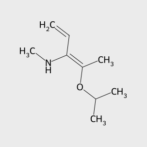 C=C/C(NC)=C(\C)OC(C)C